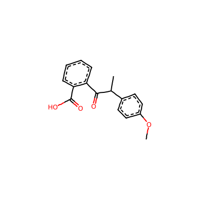 COc1ccc(C(C)C(=O)c2ccccc2C(=O)O)cc1